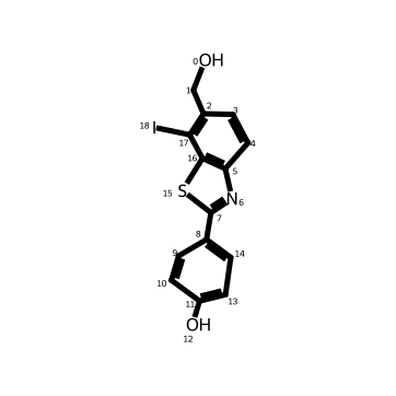 OCc1ccc2nc(-c3ccc(O)cc3)sc2c1I